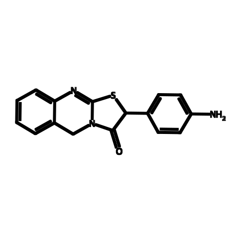 Nc1ccc(C2SC3=Nc4ccccc4CN3C2=O)cc1